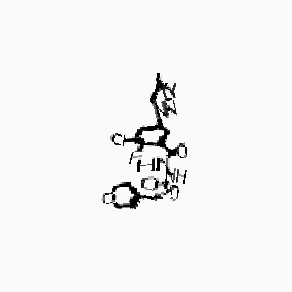 Cc1cn(-c2cc(Cl)c(F)c(C(=O)NNS(=O)(=O)CC3CCOCC3)c2)nn1